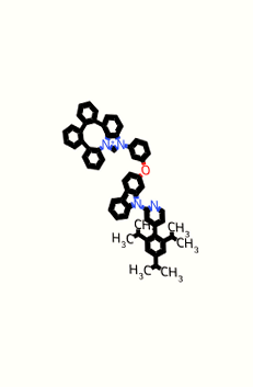 CC(C)c1cc(C(C)C)c(-c2ccnc(-n3c4ccccc4c4ccc(Oc5cccc(-n6c[n+]7c8c(cccc86)-c6ccccc6-c6ccccc6-c6ccccc6-7)c5)cc43)c2)c(C(C)C)c1